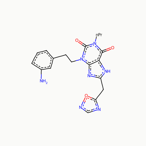 CCCn1c(=O)c2[nH]c(Cc3ncno3)nc2n(CCc2cccc(N)c2)c1=O